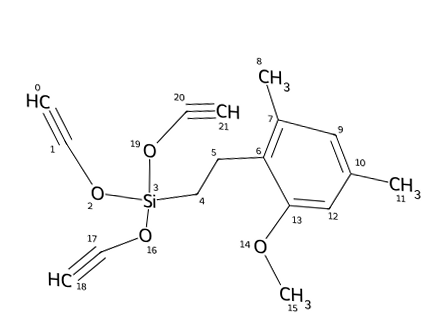 C#CO[Si](CCc1c(C)cc(C)cc1OC)(OC#C)OC#C